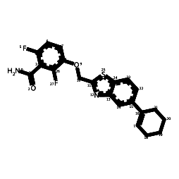 NC(=O)c1c(F)ccc(OCc2nc3cc(C4=CCCCC4)ccc3s2)c1F